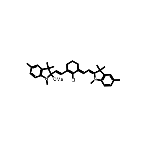 COC1(/C=C/C2=C(Cl)C(=C/C=C3\N(C)c4ccc(C)cc4C3(C)C)/CCC2)N(C)c2ccc(C)cc2C1(C)C